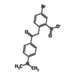 CN(C)c1ccc(C(=O)Cc2ccc(Br)cc2[N+](=O)[O-])cc1